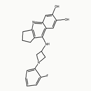 Oc1cc2nc3c(c(NC4CN(c5ccccc5F)C4)c2cc1O)CCC3